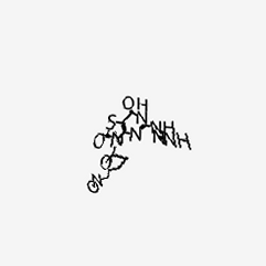 N=NNc1nc2c(sc(=O)n2[C@H]2CC[C@@H](CN=O)O2)c(=O)[nH]1